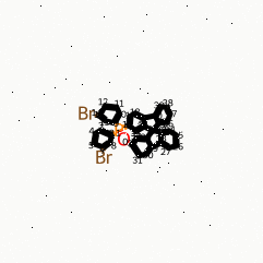 O=P(c1cccc(Br)c1)(c1cccc(Br)c1)c1ccc2c(c1)C1(c3ccccc3-c3ccccc31)c1ccccc1-2